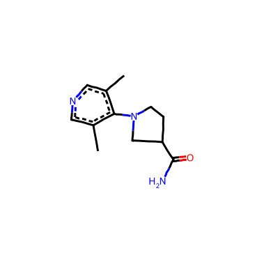 Cc1cncc(C)c1N1CCC(C(N)=O)C1